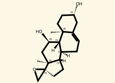 C[C@]12CC[C@H](O)CC1=CC[C@@H]1[C@@H]2[C@H](O)C[C@@]2(C)[C@H]1CC[C@@]21CO1